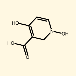 O=C(O)C1=C(O)C=CN(O)C1